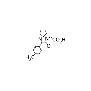 Cc1ccc(C2=NC3(CCCC3)N(CC(=O)O)C2=O)cc1